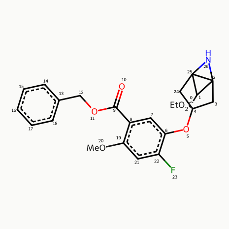 CCOC(=O)C1C23CC(Oc4cc(C(=O)OCc5ccccc5)c(OC)cc4F)CC12N3